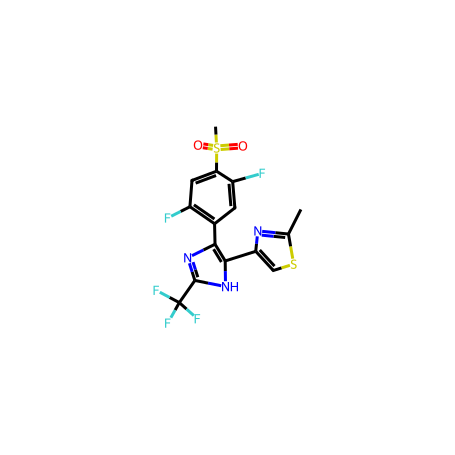 Cc1nc(-c2[nH]c(C(F)(F)F)nc2-c2cc(F)c(S(C)(=O)=O)cc2F)cs1